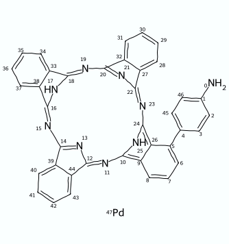 Nc1ccc(-c2cccc3c4nc5nc(nc6[nH]c(nc7nc(nc([nH]4)c23)-c2ccccc2-7)c2ccccc62)-c2ccccc2-5)cc1.[Pd]